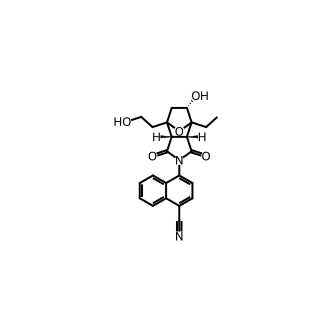 CCC12OC(CCO)(C[C@@H]1O)[C@H]1C(=O)N(c3ccc(C#N)c4ccccc34)C(=O)[C@H]12